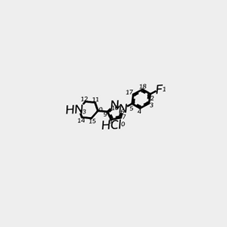 Cl.Fc1ccc(-n2ccc(C3CCNCC3)n2)cc1